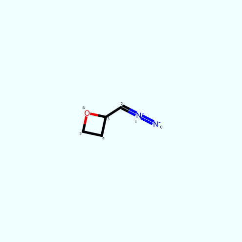 [N-]=[N+]=CC1CCO1